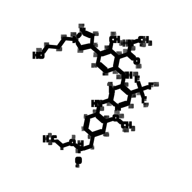 CCO[PH](=O)Cc1ccc(Nc2ncc(C(F)(F)F)c(Nc3ccc(-c4cnn(CCCO)c4)c(C)c3C(=O)NC)n2)c(OC)c1